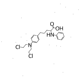 O=C(O)C(CCCc1ccc(N(CCCl)CCCl)cc1)Nc1ccccc1